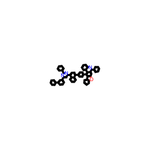 c1ccc(-c2cccc(-c3cc(-c4ccc(-c5ccc(-c6c7c(cc8c(-c9ccccc9)nc9ccccc9c68)oc6ccccc67)cc5)c5ccccc45)nc(-c4ccccc4)n3)c2)cc1